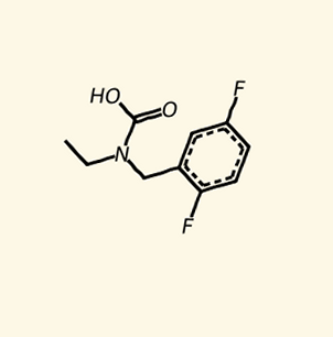 CCN(Cc1cc(F)ccc1F)C(=O)O